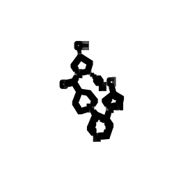 N#C[C@H]1C[C@@H](O)CN1C(=O)C1CCN(c2cnccc2-n2cc(Cl)cn2)CC1